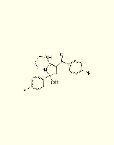 O=C(C1=C2NCCCN2C(O)(c2ccc(F)cc2)C1)c1ccc(F)cc1